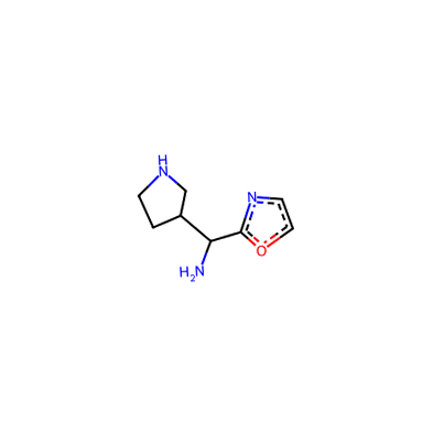 NC(c1ncco1)C1CCNC1